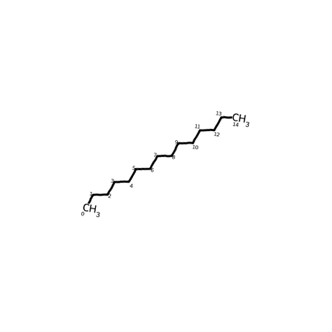 CCCCCCCCCCCCCCC